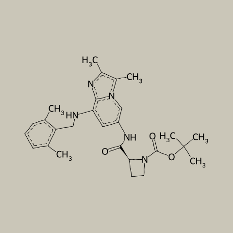 Cc1cccc(C)c1CNc1cc(NC(=O)[C@@H]2CCN2C(=O)OC(C)(C)C)cn2c(C)c(C)nc12